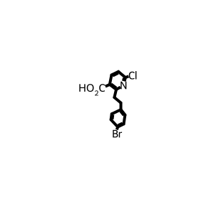 O=C(O)c1ccc(Cl)nc1CCc1ccc(Br)cc1